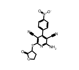 N#Cc1c(N)nc(SC2CCOC2=O)c(C#N)c1-c1ccc([N+](=O)[O-])cc1